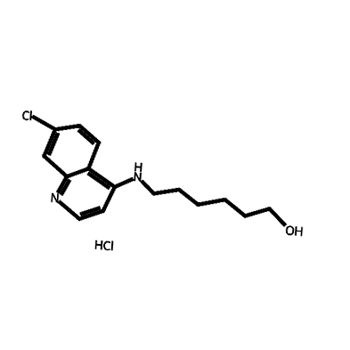 Cl.OCCCCCCNc1ccnc2cc(Cl)ccc12